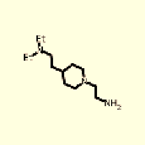 CCN(CC)CCC1CCN(CCN)CC1